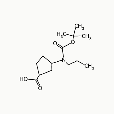 CCCN(C(=O)OC(C)(C)C)C1CCC(C(=O)O)C1